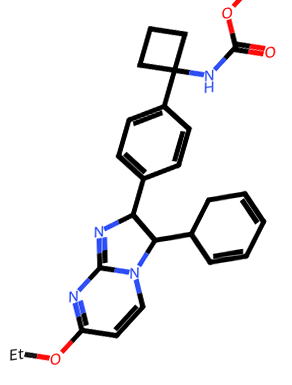 CCOC1=NC2=NC(c3ccc(C4(NC(=O)OC(C)(C)C)CCC4)cc3)C(C3C=CC=CC3)N2C=C1